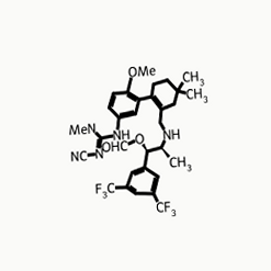 CN/C(=N\C#N)Nc1ccc(OC)c(C2=C(CN[C@@H](C)[C@H](OC=O)c3cc(C(F)(F)F)cc(C(F)(F)F)c3)CC(C)(C)CC2)c1